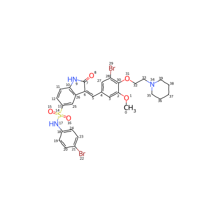 COc1cc(C=C2C(=O)Nc3ccc(S(=O)(=O)Nc4ccc(Br)cc4)cc32)cc(Br)c1OCCN1CCCCC1